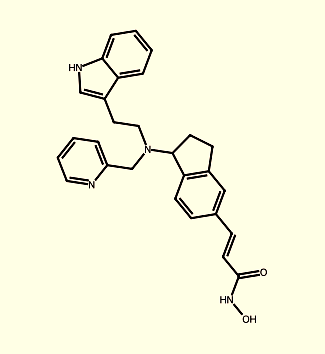 O=C(/C=C/c1ccc2c(c1)CCC2N(CCc1c[nH]c2ccccc12)Cc1ccccn1)NO